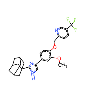 COc1cc(-c2c[nH]c(C34CC5CC(CC(C5)C3)C4)n2)ccc1OCc1ccc(C(F)(F)F)cn1